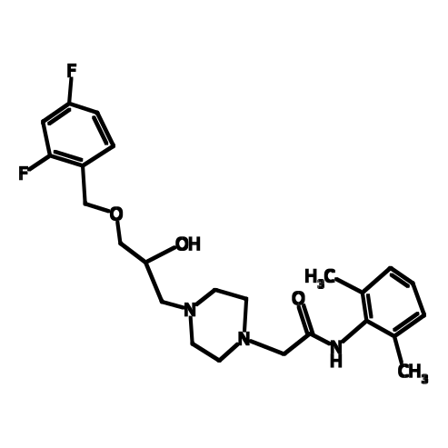 Cc1cccc(C)c1NC(=O)CN1CCN(CC(O)COCc2ccc(F)cc2F)CC1